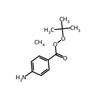 C.CC(C)(C)OOC(=O)c1ccc(N)cc1